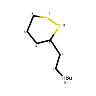 CCCCCCC1CCCSS1